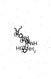 CCCCN(CCC)C(=O)c1ccc(NC(=O)c2cc(OC(C)c3c(N)ccc(C)c3O)c(C=N)nn2)cc1